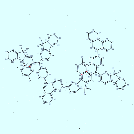 Cc1ccccc1-c1cc(-c2cc3ccccc3c3cc(-c4ccc5c(c4)-c4ccc(N(c6ccc7c(c6)C(C)(C)c6ccccc6-7)c6ccc(-c7cc8ccccc8c8ccccc78)cc6-c6c(C)cccc6C)cc4C5(C)C)ccc23)ccc1N(c1ccc2c(c1)C(C)(C)c1ccccc1-2)c1ccc2c(c1)C(C)(C)c1ccccc1-2